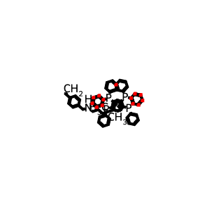 C=Cc1ccc(CNCCCC(C)(C)[C]23[CH]4[C]5(P(c6ccccc6)c6ccccc6)[C]6(P(c7ccccc7)c7ccccc7)[CH]2[Fe]43562789[CH]3[CH]2[C]7(P(c2ccccc2)c2ccccc2)[C]8(P(c2ccccc2)c2ccccc2)[CH]39)cc1